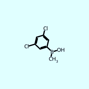 CB(O)c1cc(Cl)cc(Cl)c1